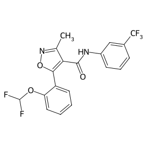 Cc1noc(-c2ccccc2OC(F)F)c1C(=O)Nc1cccc(C(F)(F)F)c1